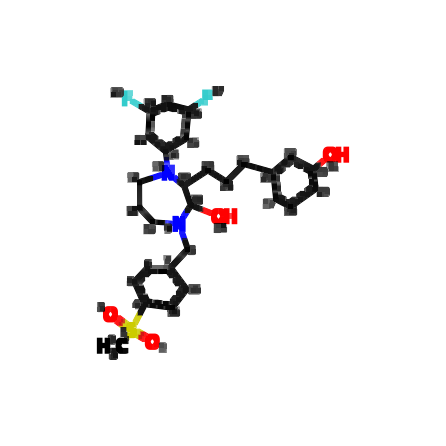 CS(=O)(=O)c1ccc(CN2CCCN(c3cc(F)cc(F)c3)C(CCCc3cccc(O)c3)C2O)cc1